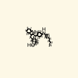 CC1Cc2c([nH]c3ccccc23)C(c2ccc(NC3CN(CCCF)C3)cc2)N1CC(F)(F)CO